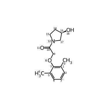 Cc1c[c]cc(C)c1OCC(=O)N1CC[C@@H](O)C1